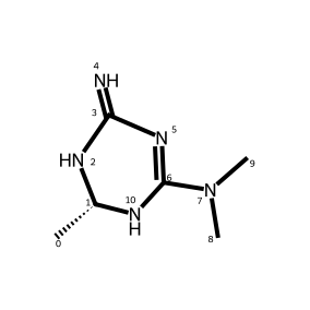 C[C@@H]1NC(=N)N=C(N(C)C)N1